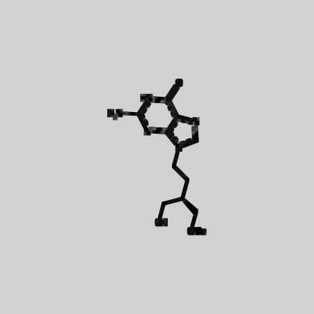 COC[C@@H](CO)CCn1cnc2c(=O)[nH]c(N)nc21